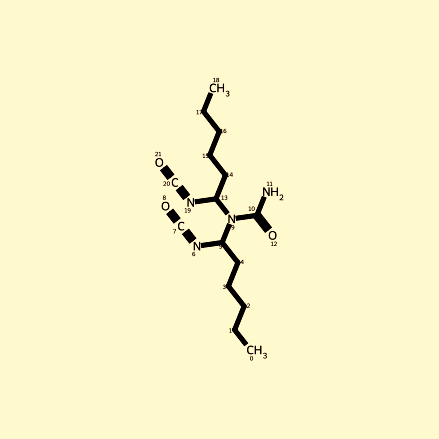 CCCCCC(N=C=O)N(C(N)=O)C(CCCCC)N=C=O